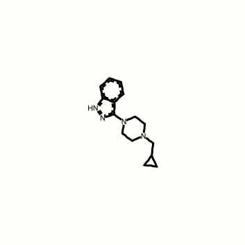 c1ccc2c(N3CCN(CC4CC4)CC3)n[nH]c2c1